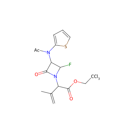 C=C(C)C(C(=O)OCC(Cl)(Cl)Cl)N1C(=O)C(N(C(C)=O)c2cccs2)C1F